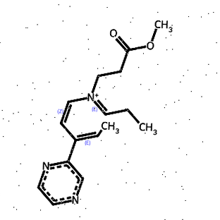 C\C=C(/C=C\[N+](=C\CC)CCC(=O)OC)c1cnccn1